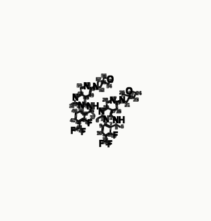 Cc1nc(NC(C)c2cccc(C(F)F)c2F)c2cc(N3CC4(CCO4)C3)ncc2n1.Cc1nc(NC(C)c2cccc(C(F)F)c2F)c2cc(N3CC4(COC4)C3)ncc2n1